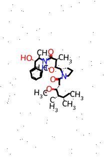 CC[C@H](C)[C@H](C)[C@@H](CC(=O)N1CCC[C@H]1[C@H](OC)[C@@H](C)C(=O)N[C@H](C)[C@@H](O)c1ccccc1)OC